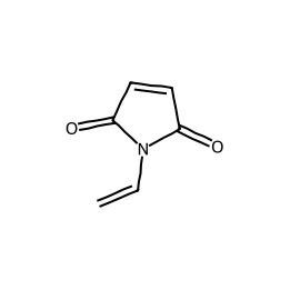 C=CN1C(=O)C=CC1=O